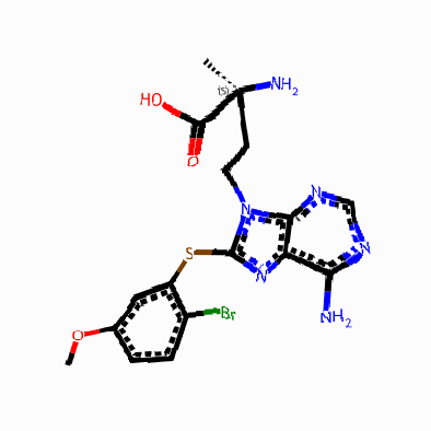 COc1ccc(Br)c(Sc2nc3c(N)ncnc3n2CC[C@](C)(N)C(=O)O)c1